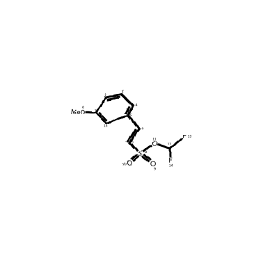 COc1cccc(C=CS(=O)(=O)OC(F)F)c1